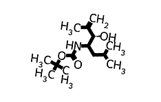 C=C(C)[C@H](O)C(CC(C)C)NC(=O)OC(C)(C)C